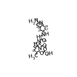 CC1=C(OC(=O)O)N2C(=O)C(NC(=O)CNc3ccc4nc(N)sc4c3)[C@@H]2SC1